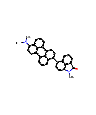 CN(C)c1ccc2c3cccc4c(-c5ccc6c7c(cccc57)C(=O)N6C)ccc(c5cccc1c52)c43